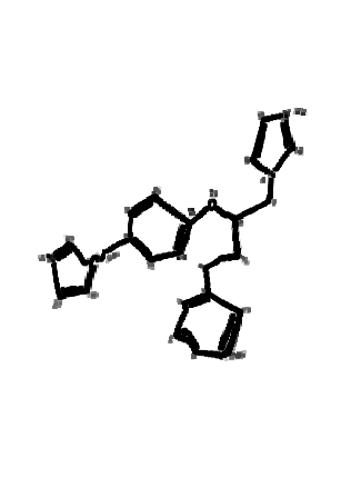 c1ccc(CCC(Cn2ccnc2)Oc2ccc(-n3ccnc3)cc2)cc1